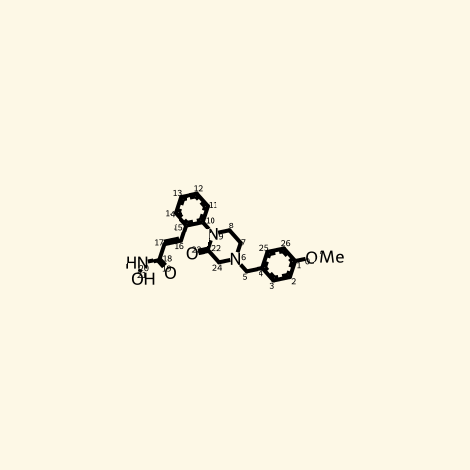 COc1ccc(CN2CCN(c3ccccc3/C=C/C(=O)NO)C(=O)C2)cc1